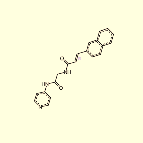 O=C(/C=C/c1ccc2ccccc2c1)NCC(=O)Nc1ccncc1